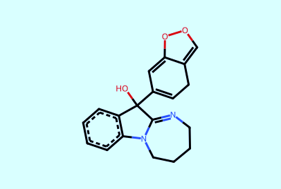 OC1(C2=CCC3=COOC3=C2)C2=NCCCCN2c2ccccc21